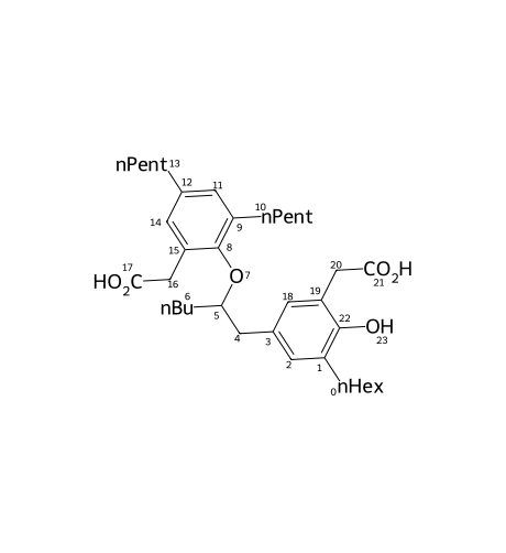 CCCCCCc1cc(CC(CCCC)Oc2c(CCCCC)cc(CCCCC)cc2CC(=O)O)cc(CC(=O)O)c1O